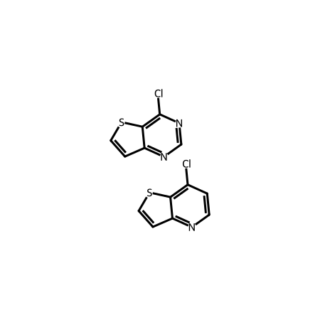 Clc1ccnc2ccsc12.Clc1ncnc2ccsc12